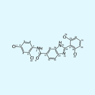 O=C(Nc1ccc(Cl)cc1Cl)c1ccc2nc(-c3c(Cl)cccc3Cl)[nH]c2c1